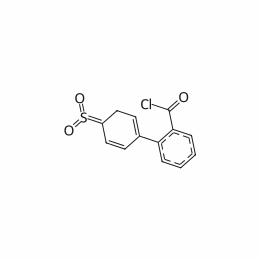 O=C(Cl)c1ccccc1C1=CCC(=S(=O)=O)C=C1